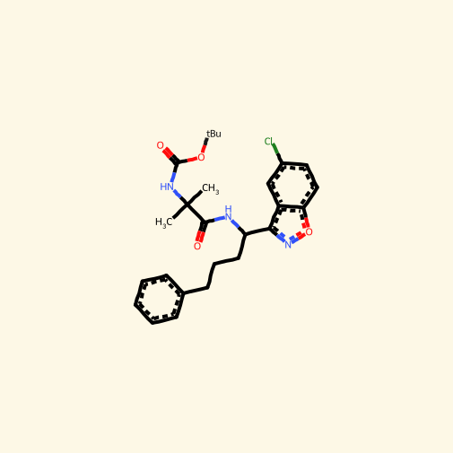 CC(C)(C)OC(=O)NC(C)(C)C(=O)NC(CCCc1ccccc1)c1noc2ccc(Cl)cc12